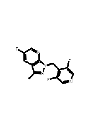 Cc1nn(Cc2c(F)cncc2F)c2ncc(F)cc12